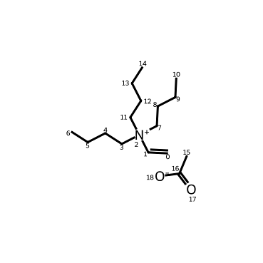 C=C[N+](CCCC)(CCCC)CCCC.CC(=O)[O-]